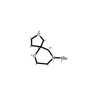 CC(C)(C)N1CCOC2(CCOC2)C1